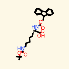 CC(C)(C)OC(=O)NCCCCCC[C@H](NC(=O)OCC1c2ccccc2-c2ccccc21)C(=O)O